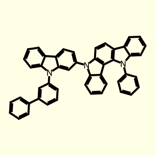 c1ccc(-c2cccc(-n3c4ccccc4c4ccc(-n5c6ccccc6c6c5ccc5c7ccccc7n(-c7ccccc7)c56)cc43)c2)cc1